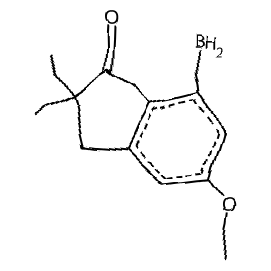 Bc1cc(OC)cc2c1C(=O)C(C)(C)C2